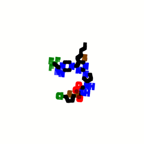 CCCc1cc2c(N3CCn4c(nnc4C(F)(F)F)C3)nc(N3CC[C@H](NC(=O)NS(=O)(=O)C4=CCC(Cl)S4)C3)nc2s1